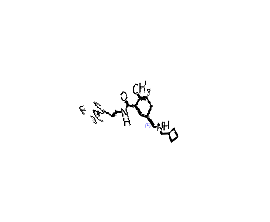 CC1=CC/C(=C\NCC2CCC2)C=C1C(=O)NCCSC(F)(F)F